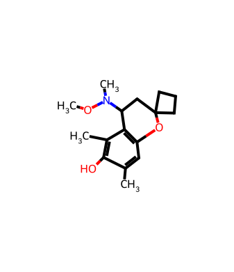 CON(C)C1CC2(CCC2)Oc2cc(C)c(O)c(C)c21